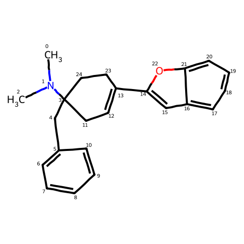 CN(C)C1(Cc2ccccc2)CC=C(c2cc3ccccc3o2)CC1